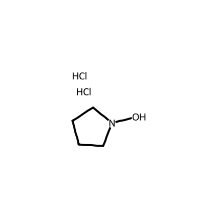 Cl.Cl.ON1CCCC1